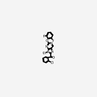 CCn1c(C(=O)c2ccccc2Cl)nc2cnc(Oc3c(F)cccc3F)nc21